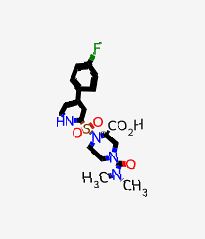 CN(C)C(=O)N1CCN(S(=O)(=O)C2CC(c3ccc(F)cc3)=CCN2)[C@@H](C(=O)O)C1